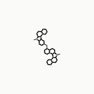 Cn1c2ccc(Cc3cccc4c3ccc3c4c4c5ccccc5ccc4n3C)cc2c2c3ccccc3ccc21